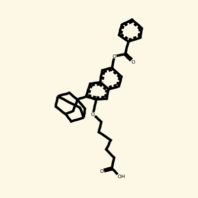 O=C(O)CCCCCOc1cc2ccc(OC(=O)c3ccccc3)cc2cc1C12CC3CC(CC(C3)C1)C2